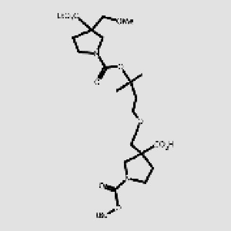 CCOC(=O)C1(COC)CCN(C(=O)OC(C)(C)CCOCC2(C(=O)O)CCN(C(=O)OC(C)(C)C)C2)C1